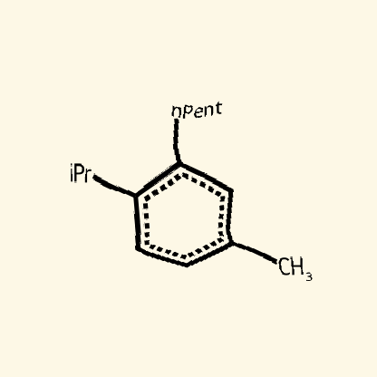 CCCCCc1cc(C)ccc1C(C)C